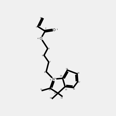 C=CC(=O)OCCCC[N+]1=C(C)C(C)(C)c2ccccc21